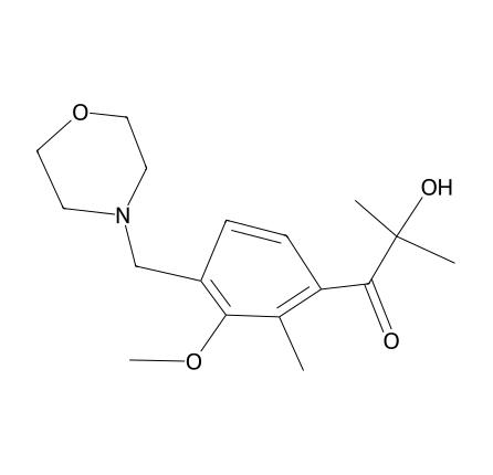 COc1c(CN2CCOCC2)ccc(C(=O)C(C)(C)O)c1C